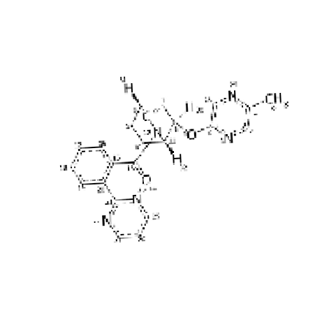 Cc1cnc(O[C@@H]2C[C@H]3CC[C@@H]2N(C(=O)c2ccccc2-c2ncccn2)C3)cn1